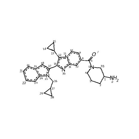 NC1CCCN(C(=O)c2ccn3c(C4CC4)c(-c4cc5ccccc5n4CC4CC4)nc3c2)C1